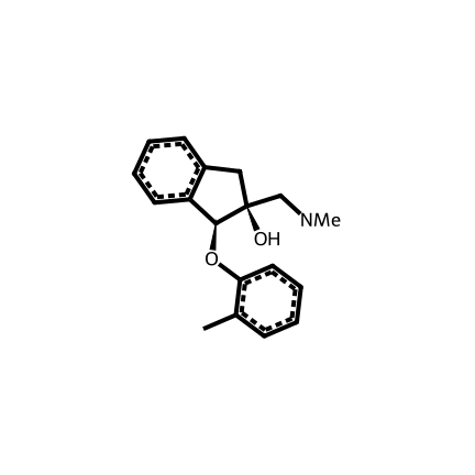 CNC[C@@]1(O)Cc2ccccc2[C@@H]1Oc1ccccc1C